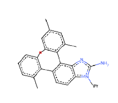 Cc1cc(C)c(-c2c(-c3c(C)cccc3C)ccc3c2nc(N)n3C(C)C)c(C)c1